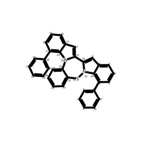 c1ccc(-c2cccc3cc4c5cc6cccc(-c7ccccc7)c6n5c5ccccc5sn4c23)cc1